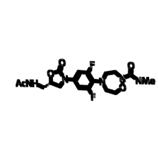 CNC(=O)N1CCN(c2c(F)cc(N3C[C@H](CNC(C)=O)OC3=O)cc2F)CCO1